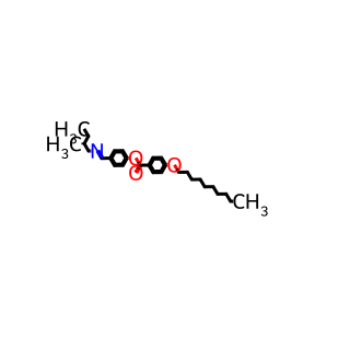 CCCCCCCCCCOc1ccc(C(=O)Oc2ccc(/C=N/C[C@@H](C)CC)cc2)cc1